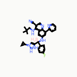 BC(Nc1cc(-c2ccccn2)c2ncc(C#N)c(NCC(C)(C)C)c2c1)(C1=CN(C2CC2)NN1)c1ccc(F)cc1